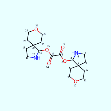 O=C(OC1NCCC12CCOCC2)C(=O)OC1NCCC12CCOCC2